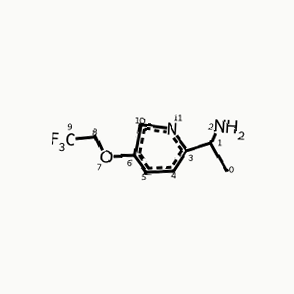 CC(N)c1ccc(OCC(F)(F)F)cn1